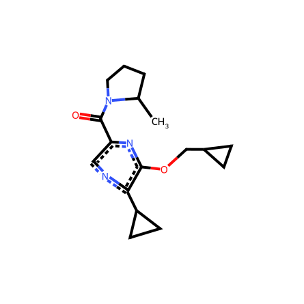 CC1CCCN1C(=O)c1cnc(C2CC2)c(OCC2CC2)n1